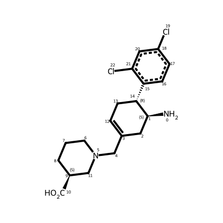 N[C@H]1CC(CN2CCC[C@H](C(=O)O)C2)=CC[C@@H]1c1ccc(Cl)cc1Cl